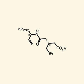 C=C[C@@H](CCCCC)NC(=O)C[C@H](CC(=O)O)CC(C)C